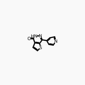 O=c1[nH]nc(-c2ccncc2)c2sccc12